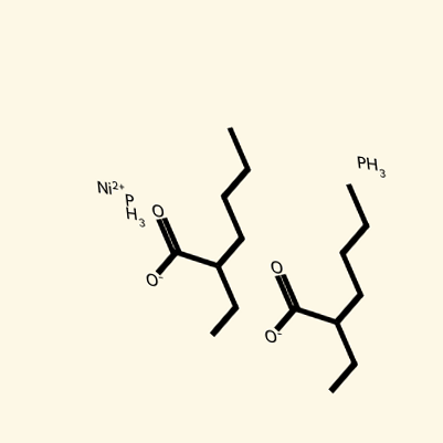 CCCCC(CC)C(=O)[O-].CCCCC(CC)C(=O)[O-].P.P.[Ni+2]